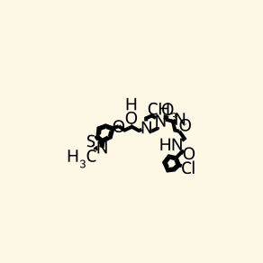 Cc1nc2cc(OC[C@H](O)CN3CCN(C(=O)C4=NOC(CNC(=O)c5ccccc5Cl)C4)[C@@H](C)C3)ccc2s1